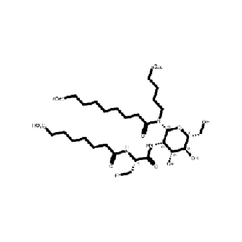 CCCCCCCCCCCCCCCCCC(=O)N(CCCCCCCCCCCCCC)[C@@H]1O[C@H](CO)[C@@H](O)[C@H](O)[C@@H]1NC(=O)[C@H](CC(C)C)NC(=O)CCCCCCC(=O)O